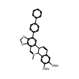 COc1cc2c(cc1OC)C1C(C=C2)c2cc(-c3ccc(-c4ccccc4)cc3)c3c(c2C=[N+]1C)OCO3